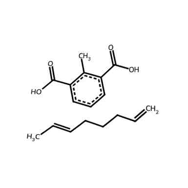 C=CCCCC=CC.Cc1c(C(=O)O)cccc1C(=O)O